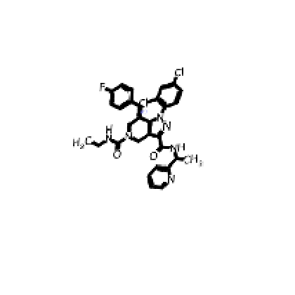 CCNC(=O)N1C/C(=C\c2ccc(F)cc2)c2c(c(C(=O)NC(C)c3ccccn3)nn2-c2ccc(Cl)cc2Cl)C1